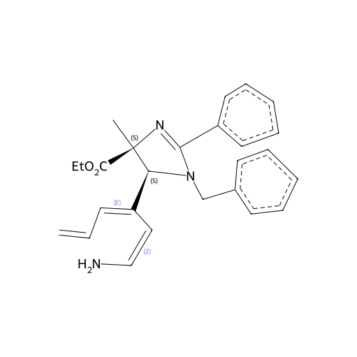 C=C/C=C(\C=C/N)[C@@H]1N(Cc2ccccc2)C(c2ccccc2)=N[C@]1(C)C(=O)OCC